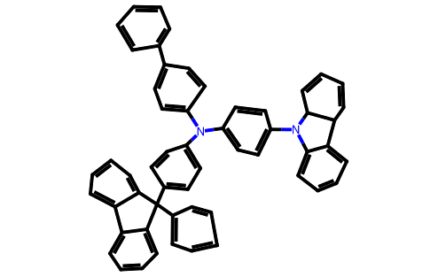 C1=CC2c3ccccc3N(c3ccc(N(c4ccc(-c5ccccc5)cc4)c4ccc(C5(c6ccccc6)c6ccccc6-c6ccccc65)cc4)cc3)C2C=C1